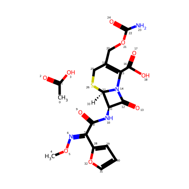 CC(=O)O.CO/N=C(/C(=O)N[C@@H]1C(=O)N2C(C(=O)O)=C(COC(N)=O)CS[C@H]12)c1ccco1